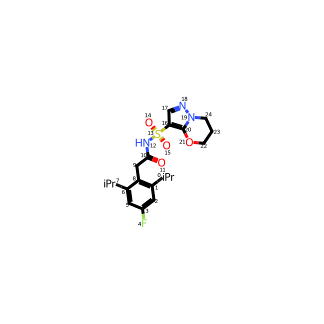 CC(C)c1cc(F)cc(C(C)C)c1CC(=O)NS(=O)(=O)c1cnn2c1OCCC2